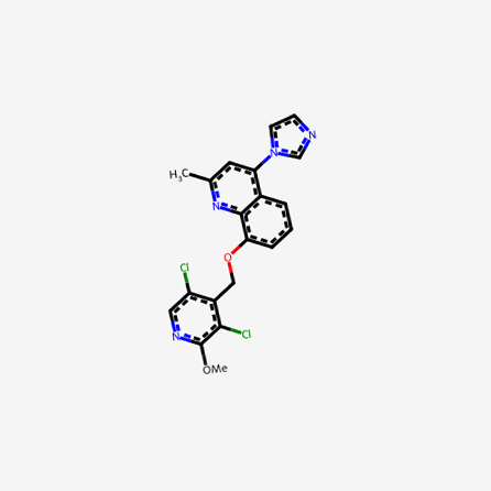 COc1ncc(Cl)c(COc2cccc3c(-n4ccnc4)cc(C)nc23)c1Cl